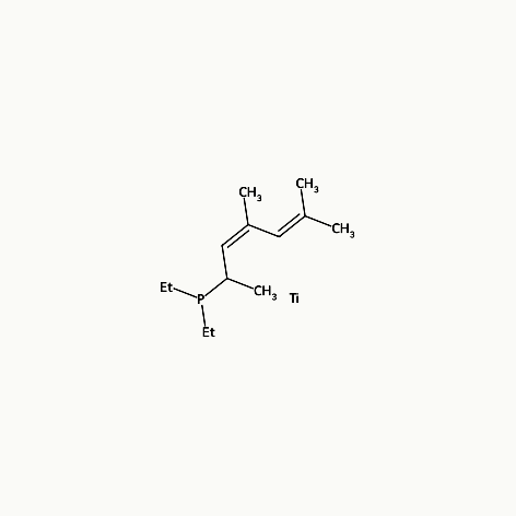 CCP(CC)C(C)C=C(C)C=C(C)C.[Ti]